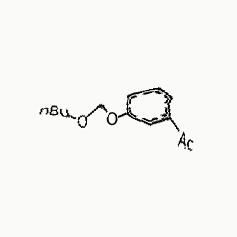 CCCCOCOc1cccc(C(C)=O)c1